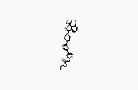 CCOC(=O)Cn1nnc(-c2cnc(N3CCN(C(=O)c4cccc(F)c4C(F)(F)F)CC3)s2)n1